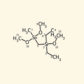 CC[Si](CC)(C[Si](C)(OC)OC)OC